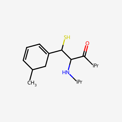 CC1C=CC=C(C(S)C(NC(C)C)C(=O)C(C)C)C1